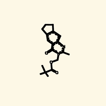 Cc1nc2cc3c(cc2c(=O)n1COC(=O)C(C)(C)C)CCC3